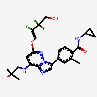 Cc1cc(-c2cnc3c(NCC(C)(C)O)cc(OC=C(F)C(F)(F)CO)nn23)ccc1C(=O)NC1CC1